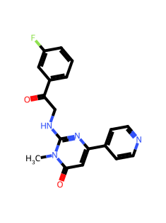 Cn1c(NCC(=O)c2cccc(F)c2)nc(-c2ccncc2)cc1=O